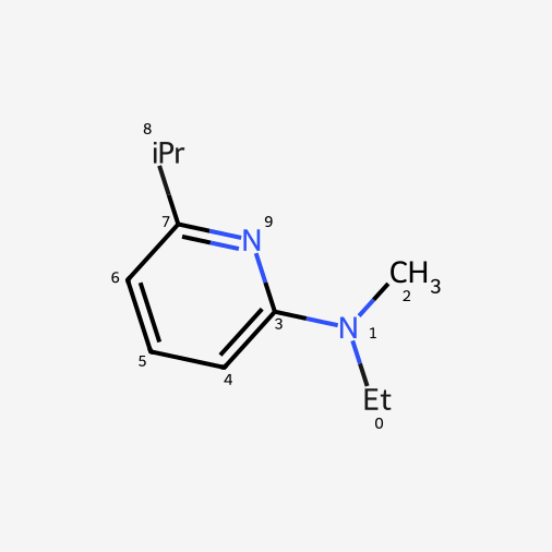 CCN(C)c1cccc(C(C)C)n1